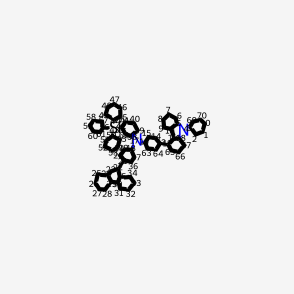 c1ccc(-n2c3ccccc3c3c(-c4ccc(N(c5ccc(-c6cc7ccccc7c7ccccc67)cc5)c5cccc([Si](c6ccccc6)(c6ccccc6)c6ccccc6)c5)cc4)cccc32)cc1